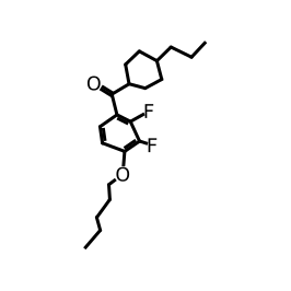 CCCCCOc1ccc(C(=O)C2CCC(CCC)CC2)c(F)c1F